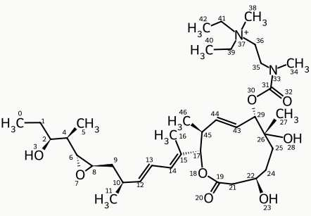 CC[C@H](O)[C@@H](C)[C@H]1O[C@@H]1C[C@H](C)/C=C/C=C(\C)[C@H]1OC(=O)C[C@H](O)CC[C@@](C)(O)[C@@H](OC(=O)N(C)CC[N+](C)(CC)CC)/C=C/[C@@H]1C